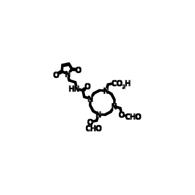 O=COCN1CCN(COC=O)CCN(CC(=O)NCCN2C(=O)C=CC2=O)CCN(CC(=O)O)CC1